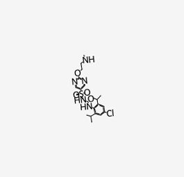 CNCCOc1ncc(S(=O)(=O)NC(=O)Nc2c(C(C)C)cc(Cl)cc2C(C)C)cn1